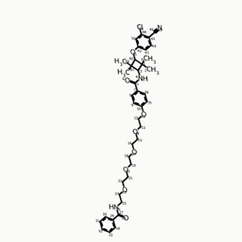 CC1(C)C(NC(=O)c2ccc(OCCOCCOCCOCCOCCNC(=O)c3ccccc3)cc2)C(C)(C)C1Oc1ccc(C#N)c(Cl)c1